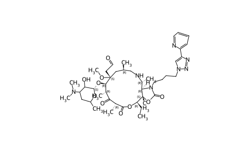 CC[C@H]1OC(=O)[C@H](C)C(=O)[C@H](C)[C@@H](O[C@@H]2OC(C)CC(N(C)C)C2O)[C@](CC=O)(OC)C[C@@H](C)CN[C@H](C)[C@H]2N(CCCCn3cc(-c4ccccn4)nn3)C(=O)O[C@]12C